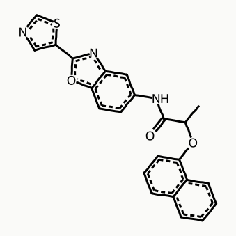 CC(Oc1cccc2ccccc12)C(=O)Nc1ccc2oc(-c3cncs3)nc2c1